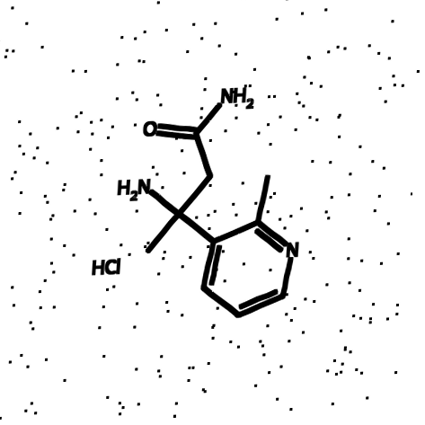 Cc1ncccc1C(C)(N)CC(N)=O.Cl